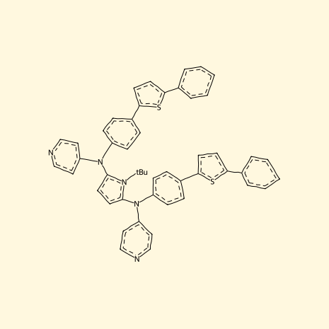 CC(C)(C)n1c(N(c2ccncc2)c2ccc(-c3ccc(-c4ccccc4)s3)cc2)ccc1N(c1ccncc1)c1ccc(-c2ccc(-c3ccccc3)s2)cc1